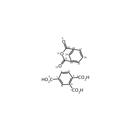 O=C(O)c1ccc(C(=O)O)c(C(=O)O)c1.O=C1OC(=O)c2cccc1c2